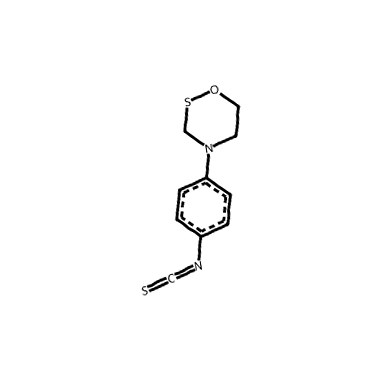 S=C=Nc1ccc(N2CCOSC2)cc1